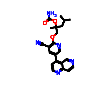 CC(C)CC(C)(COc1ncc(-c2ccnc3ccncc23)cc1C#N)OC(N)=O